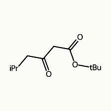 CC(C)CC(=O)CC(=O)OC(C)(C)C